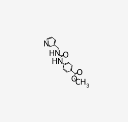 COC(=O)c1ccc(NC(=O)NCc2cccnc2)cc1